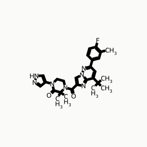 Cc1cc(-c2cc(C(C)(C)C)c3nc(C(=O)N4CCN(c5cn[nH]c5)C(=O)C4(C)C)cn3n2)ccc1F